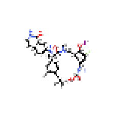 Cc1cc2ccc1[C@@H](C)COC(=O)Nc1cc(F)c(OI)c(c1)CN(C)C(=O)[C@@H]2Nc1ccc2cc[nH]c(=O)c2c1